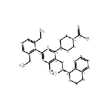 CCc1cccc(CC)c1-c1nc(C)c(CN(C)[C@@H]2CCCc3ccccc32)c(N2CCN(C(C)=O)CC2)n1